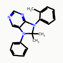 Cc1ccccc1N1c2ncncc2N(c2ccccc2)C1(C)C